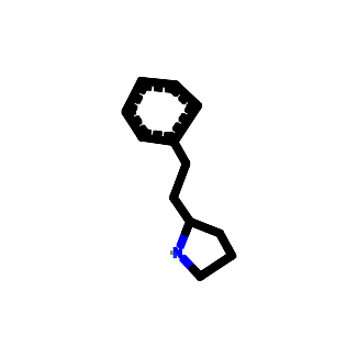 c1ccc(CCC2CCC[N]2)cc1